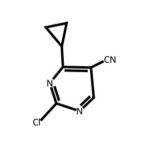 N#Cc1cnc(Cl)nc1C1CC1